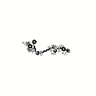 Cc1ncsc1-c1ccc(C(C)NC(=O)[C@@H]2C[C@@H](O)CN2C(=O)C(NC(=O)CCCCCNC(=O)[C@@H]2CCN(CCC(CSc3ccccc3)Nc3ccc(S(N)(=O)=O)cc3S(=O)(=O)C(F)(F)F)C2)C(C)(C)C)cc1